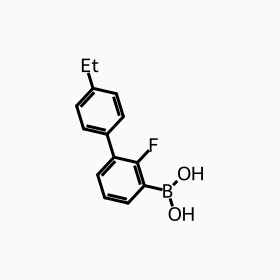 CCc1ccc(-c2cccc(B(O)O)c2F)cc1